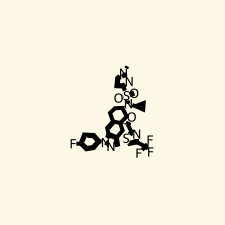 Cn1ccc(S(=O)(=O)N(C2CC2)[C@H]2CCC3=Cc4c(cnn4-c4ccc(F)cc4)C[C@]3(C(=O)c3nc(C(F)(F)F)cs3)C2)n1